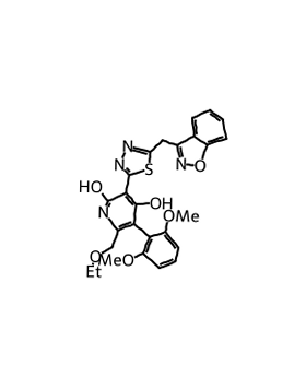 CCOCc1nc(O)c(-c2nnc(Cc3noc4ccccc34)s2)c(O)c1-c1c(OC)cccc1OC